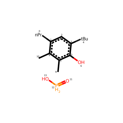 CCCc1cc(C(C)(C)C)c(O)c(C)c1C.O=[PH2]O